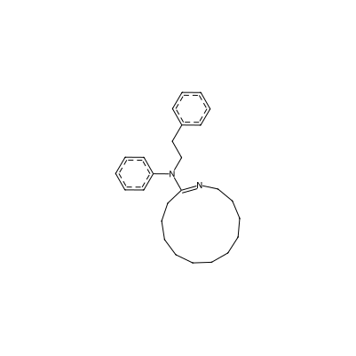 c1ccc(CCN(C2=NCCCCCCCCCCC2)c2ccccc2)cc1